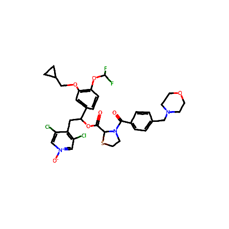 O=C(OC(Cc1c(Cl)c[n+]([O-])cc1Cl)c1ccc(OC(F)F)c(OCC2CC2)c1)C1SCCN1C(=O)c1ccc(CN2CCOCC2)cc1